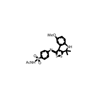 COc1ccc2c(c1)-c1c(ssc1=Nc1ccc(S(=O)(=O)NC(C)=O)cc1)C(C)(C)N2